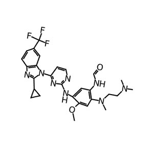 COc1cc(N(C)CCN(C)C)c(NC=O)cc1Nc1nccc(-n2c(C3CC3)nc3ccc(C(F)(F)F)cc32)n1